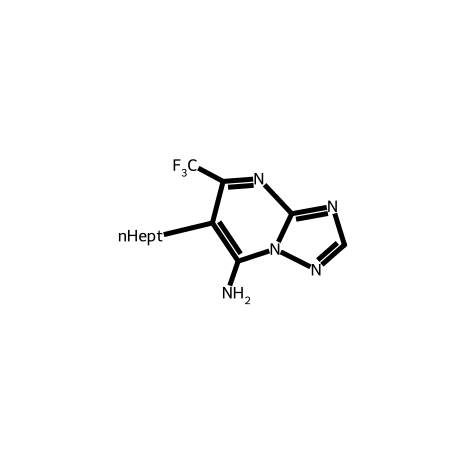 CCCCCCCc1c(C(F)(F)F)nc2ncnn2c1N